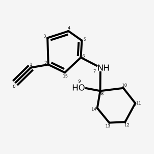 C#Cc1cccc(NC2(O)C[CH]CCC2)c1